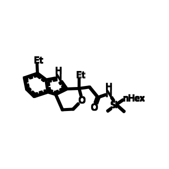 CCCCCC[Si](C)(C)NC(=O)CC1(CC)OCCc2c1[nH]c1c(CC)cccc21